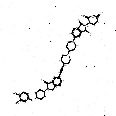 N#Cc1ccc(O[C@H]2CC[C@H](N3Cc4ccc(C#CC5CCN(C6CCN(c7ccc8c(c7)C(O)N(C7CCC(=O)NC7=O)C8=O)CC6)CC5)cc4C3=O)CC2)cc1Cl